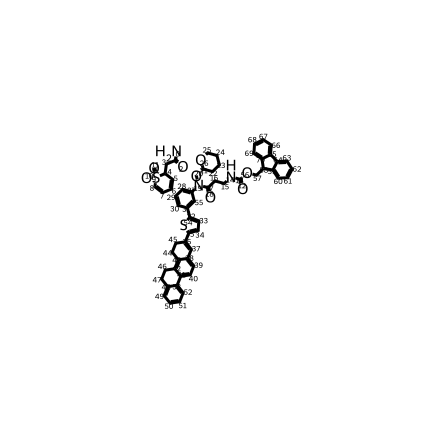 NC(=O)CC1C=CC=CS1(=O)=O.O=C(NCCC(=O)N(OC1CCCCO1)c1cccc(-c2ccc(C3=Cc4ccc5c(c4CC3)CCc3ccccc3-5)s2)c1)OCC1c2ccccc2-c2ccccc21